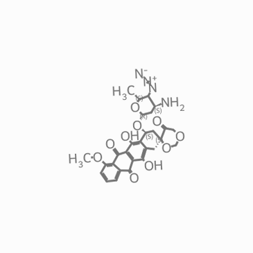 COc1cccc2c1C(=O)c1c(O)c3c(c(O)c1C2=O)C[C@@]1(C[C@@H]3O[C@H]2C[C@H](N)C(N=[N+]=[N-])[C@H](C)O2)OCOCC1=O